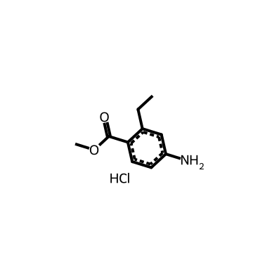 CCc1cc(N)ccc1C(=O)OC.Cl